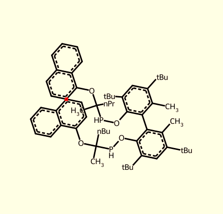 CCCCC(C)(Oc1cccc2ccccc12)POc1c(C(C)(C)C)cc(C(C)(C)C)c(C)c1-c1c(C)c(C(C)(C)C)cc(C(C)(C)C)c1OPC(C)(CCC)Oc1cccc2ccccc12